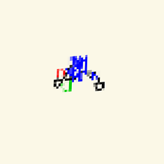 O=c1c(-c2ccccc2Cl)cc2cnc(NC3C4CN(Cc5ccccc5)CC43)nc2n1Cc1nnn[nH]1